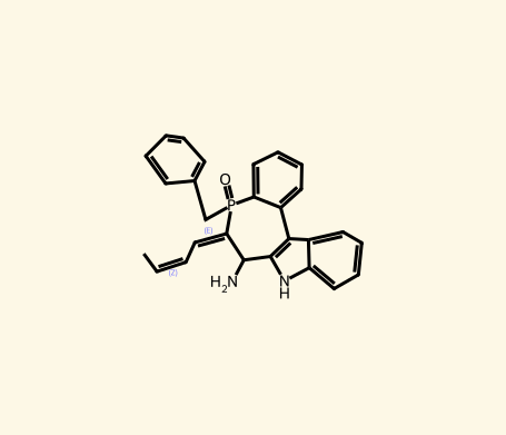 C/C=C\C=C1/C(N)c2[nH]c3ccccc3c2-c2ccccc2P1(=O)Cc1ccccc1